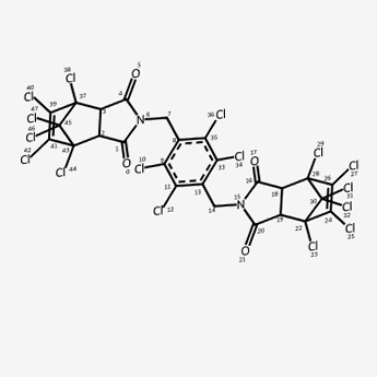 O=C1C2C(C(=O)N1Cc1c(Cl)c(Cl)c(CN3C(=O)C4C(C3=O)C3(Cl)C(Cl)=C(Cl)C4(Cl)C3(Cl)Cl)c(Cl)c1Cl)C1(Cl)C(Cl)=C(Cl)C2(Cl)C1(Cl)Cl